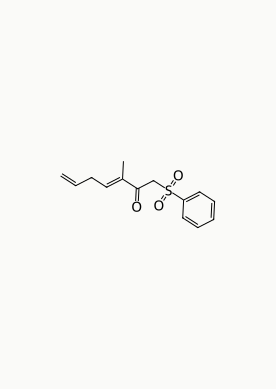 C=CC/C=C(\C)C(=O)CS(=O)(=O)c1ccccc1